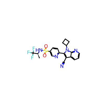 C[C@H](NS(=O)(=O)c1ccc(-c2c(C#N)c3cccnc3n2C2CCC2)nc1)C(F)(F)F